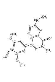 CNc1cc2c(=O)n(C)cc(-c3cc(OC)c(C=O)c(OC)c3)c2cn1